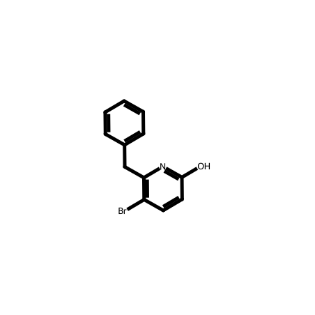 Oc1ccc(Br)c(Cc2ccccc2)n1